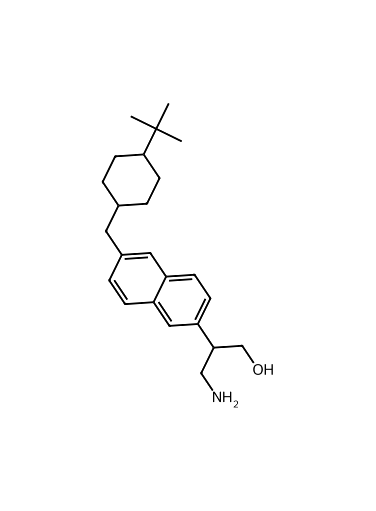 CC(C)(C)C1CCC(Cc2ccc3cc(C(CN)CO)ccc3c2)CC1